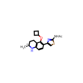 CC(=O)Nc1nc(-c2ccc3c(c2OC2CCC2)CC[C@H](C)N3)cs1